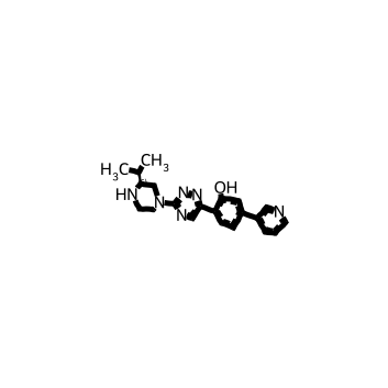 CC(C)[C@H]1CN(c2ncc(-c3ccc(-c4cccnc4)cc3O)nn2)CCN1